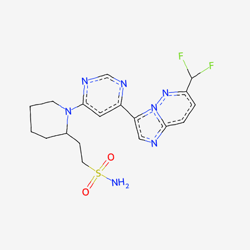 NS(=O)(=O)CCC1CCCCN1c1cc(-c2cnc3ccc(C(F)F)nn23)ncn1